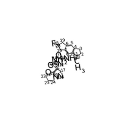 C[C@@H]1CCc2cc3c(c(NC(=O)N=[S@@](N)(=O)c4cnn5c4OCCC5)c21)C[C@@H](F)C3